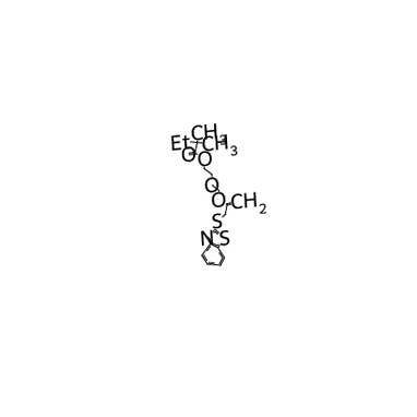 C=C(CSc1nc2ccccc2s1)OCOCCOC(=O)C(C)(C)CC